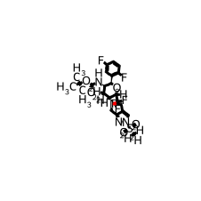 [2H]C1([2H])[C@H](NC(=O)OC(C)(C)C)[C@@H](c2cc(F)ccc2F)OC([2H])(C(F)(F)F)C1([2H])N1Cc2cn(S(=O)(=O)C([2H])([2H])[2H])nc2C1